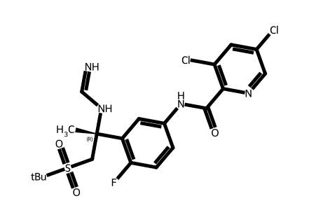 CC(C)(C)S(=O)(=O)C[C@](C)(NC=N)c1cc(NC(=O)c2ncc(Cl)cc2Cl)ccc1F